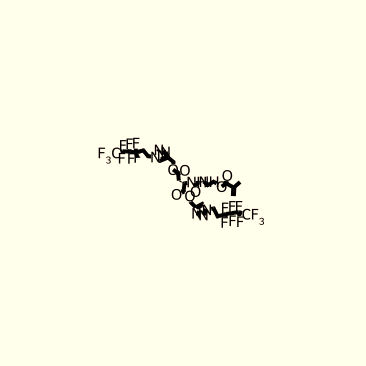 C=C(C)C(=O)OCCNC(=O)N[C@@H](CC(=O)OCc1cn(CCC(F)(F)C(F)(F)C(F)(F)C(F)(F)F)nn1)C(=O)OCc1cn(CCC(F)(F)C(F)(F)C(F)(F)C(F)(F)F)nn1